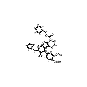 CCOC(=O)c1c(Cn2cncn2)nc2sc3c(c2c1-c1ccc(OC)c(OC)c1)CCCN3C(=O)OCc1ccccc1